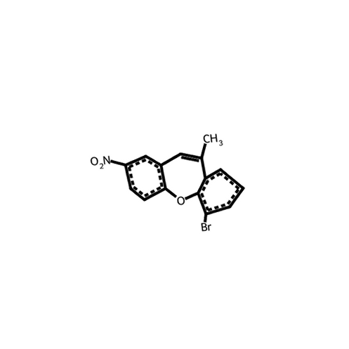 CC1=Cc2cc([N+](=O)[O-])ccc2Oc2c(Br)cccc21